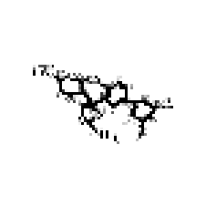 NC1=NC2(CO1)c1cc(-c3cc(F)cc(Cl)c3)ccc1OC1CC(O)CCC12